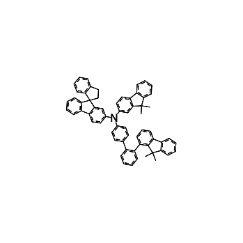 CC1(C)c2ccccc2-c2ccc(N(c3ccc(-c4ccccc4-c4cccc5c4C(C)(C)c4ccccc4-5)cc3)c3ccc4c(c3)C3(CCc5ccccc53)c3ccccc3-4)cc21